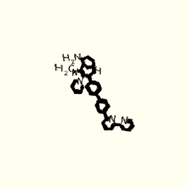 C=NC1=C(N2C=CC=CC2)C(c2ccc(-c3ccc(-c4cccc(-c5ccccn5)n4)cc3)cc2)C[C@H]2C=CC(N)C1C2